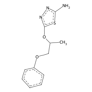 CC(COc1ccccc1)Oc1nnc(N)s1